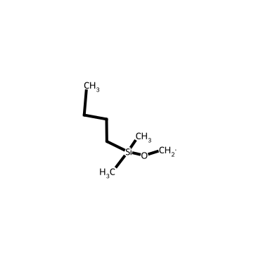 [CH2]O[Si](C)(C)CCCC